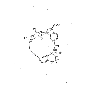 CC[C@]12CC/C=C\c3ccc4c(c3)[C@@H](NC(=O)c3ccc5c(c3)[C@@H](C[C@H]5OC)N(C(=N)N1)C(=O)C2)[C@H](O)C(C)(C)O4